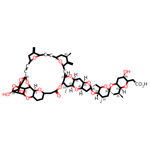 C=C1CC2CC[C@@]34OC5C6C(OC7CCC(CC(=O)OC8[C@H](CC9OC(CCC1O2)C[C@@H](C)C9=C)O[C@H]1C[C@H]2O[C@]9(CC%10O[C@]%11(C[C@H](C)[C@@H]%12OC(CC(=O)O)[C@H](O)CC%12O%11)C[C@H](C)[C@@H]%10O9)C[C@H]2O[C@H]1[C@@H]8C)O[C@@H]75)C1C6(O3)O[C@]1(O)C4O